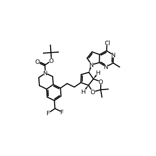 Cc1nc(Cl)c2ccn([C@@H]3C=C(CCc4cc(C(F)F)cc5c4CN(C(=O)OC(C)(C)C)CC5)[C@H]4OC(C)(C)O[C@H]43)c2n1